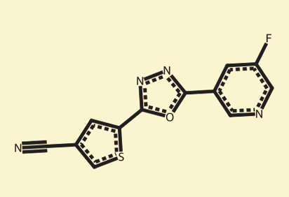 N#Cc1csc(-c2nnc(-c3cncc(F)c3)o2)c1